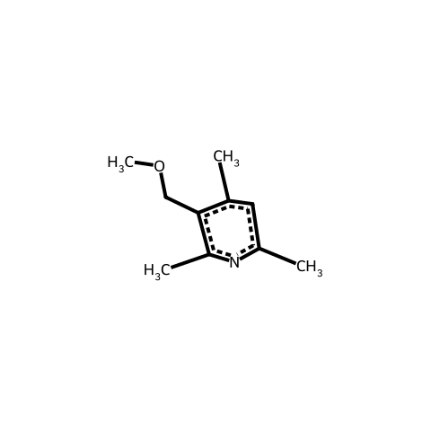 COCc1c(C)cc(C)nc1C